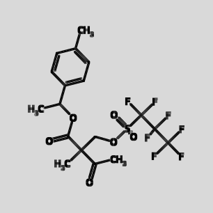 CC(=O)C(C)(COS(=O)(=O)C(F)(F)C(F)(F)C(F)(F)F)C(=O)OC(C)c1ccc(C)cc1